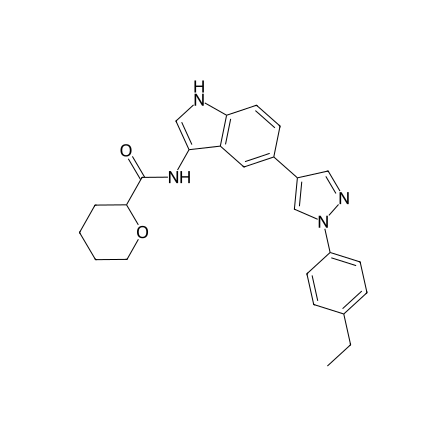 CCc1ccc(-n2cc(-c3ccc4[nH]cc(NC(=O)C5CCCCO5)c4c3)cn2)cc1